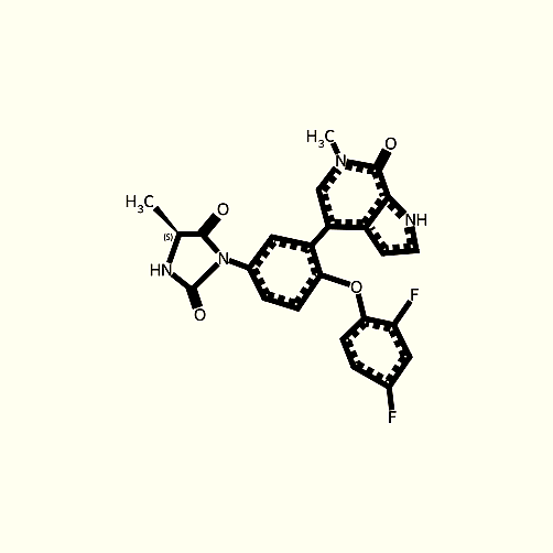 C[C@@H]1NC(=O)N(c2ccc(Oc3ccc(F)cc3F)c(-c3cn(C)c(=O)c4[nH]ccc34)c2)C1=O